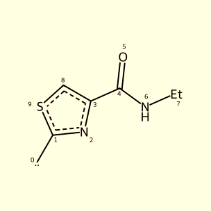 [CH]c1nc(C(=O)NCC)cs1